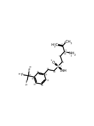 C=C(C)[C@@H](N)CCS(=N)(=O)CCc1cccc(C(F)(F)F)c1